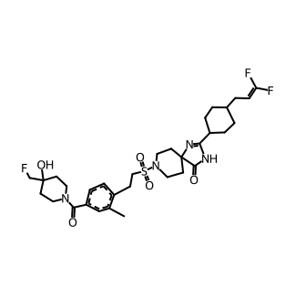 Cc1cc(C(=O)N2CCC(O)(CF)CC2)ccc1CCS(=O)(=O)N1CCC2(CC1)N=C(C1CCC(CC=C(F)F)CC1)NC2=O